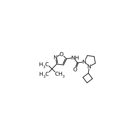 CC(C)(C)c1cc(NC(=O)N2CCCN2C2CCC2)on1